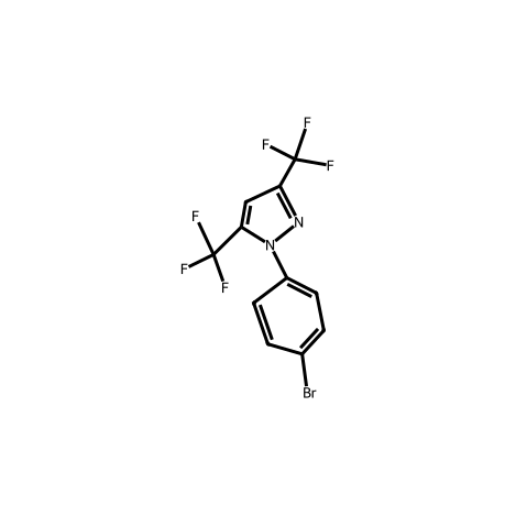 FC(F)(F)c1cc(C(F)(F)F)n(-c2ccc(Br)cc2)n1